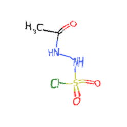 CC(=O)NNS(=O)(=O)Cl